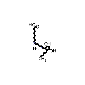 CCCCCC1C(O)CC(O)C1/C=C/C(O)C/C=C\CCCCCCC(=O)O